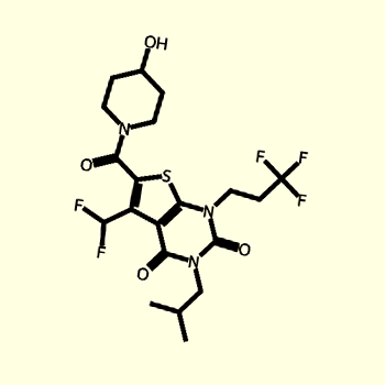 CC(C)Cn1c(=O)c2c(C(F)F)c(C(=O)N3CCC(O)CC3)sc2n(CCC(F)(F)F)c1=O